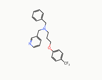 FC(F)(F)c1ccc(OCCCN(Cc2ccccc2)Cc2cccnc2)cc1